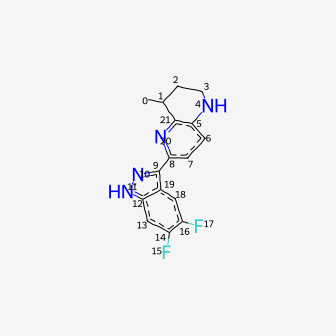 CC1CCNc2ccc(-c3n[nH]c4cc(F)c(F)cc34)nc21